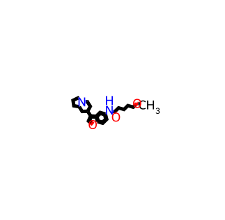 COCCCCC(=O)Nc1ccc2occ(C3CCN4CCCC4C3)c2c1